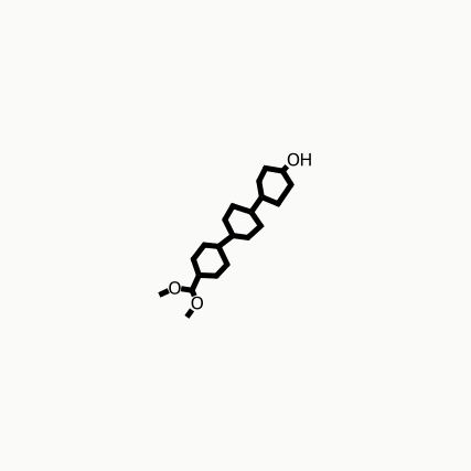 COC(OC)C1CCC(C2CCC(C3CCC(O)CC3)CC2)CC1